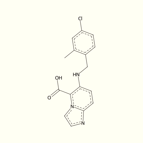 Cc1cc(Cl)ccc1CNc1ccc2nccn2c1C(=O)O